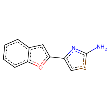 Nc1nc(-c2cc3ccccc3o2)cs1